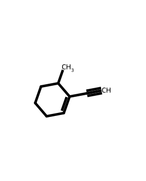 C#CC1=CCCCC1C